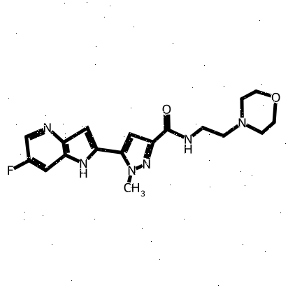 Cn1nc(C(=O)NCCN2CCOCC2)cc1-c1cc2ncc(F)cc2[nH]1